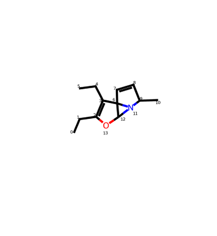 CCC1=C(CC)C23C=CC(C)N2C3O1